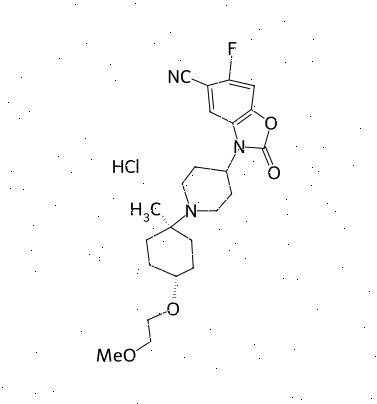 COCCO[C@H]1CC[C@](C)(N2CCC(n3c(=O)oc4cc(F)c(C#N)cc43)CC2)CC1.Cl